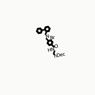 CCCCCCCCCCCCNC(=O)c1ccc(C[N]Cc2ccccc2-c2ccccc2)c(Br)c1